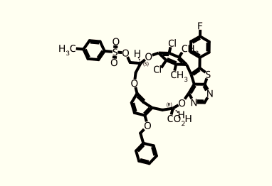 Cc1ccc(S(=O)(=O)OC[C@@H]2COc3ccc(OCc4ccccc4)c(c3)C[C@H](C(=O)O)Oc3ncnc4sc(-c5ccc(F)cc5)c(c34)-c3c(C)c(Cl)c(c(Cl)c3C)O2)cc1